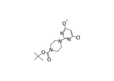 COc1cc(Cl)nc(N2CCN(C(=O)OC(C)(C)C)CC2)n1